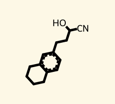 N#CC(O)CCc1ccc2c(c1)CCCC2